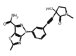 Cc1nc2c(s1)c(C(N)=O)nn2-c1cccc(C#C[C@]2(O)CCN(C)C2=O)c1